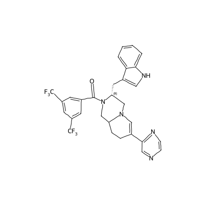 O=C(c1cc(C(F)(F)F)cc(C(F)(F)F)c1)N1CC2CCC(c3cnccn3)=CN2C[C@H]1Cc1c[nH]c2ccccc12